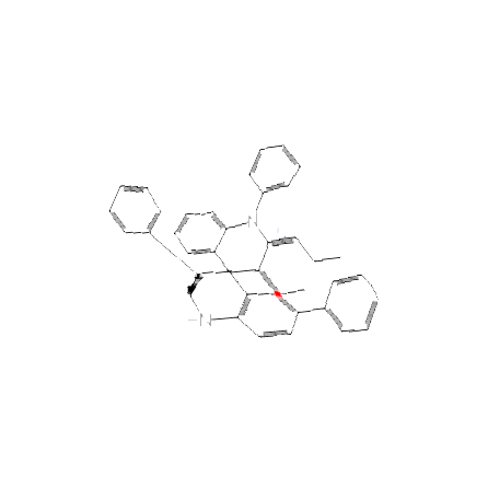 C/C=C1\C(=C/CC)N(c2ccccc2)c2ccccc2C12c1cc(-c3ccccc3)ccc1Nc1ccc(-c3ccccc3)cc12